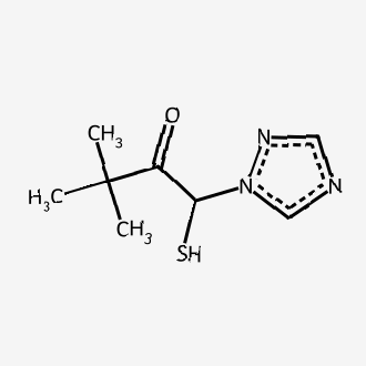 CC(C)(C)C(=O)C(S)n1cncn1